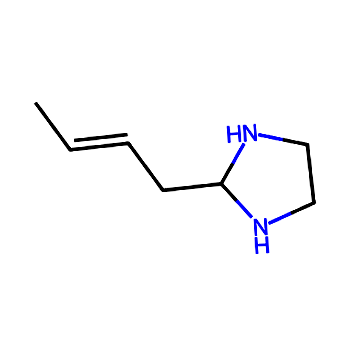 C/C=C/CC1NCCN1